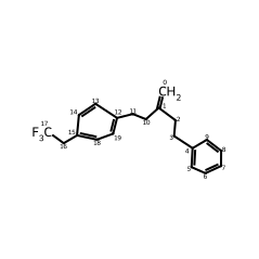 C=C(CCc1ccccc1)CCc1ccc(CC(F)(F)F)cc1